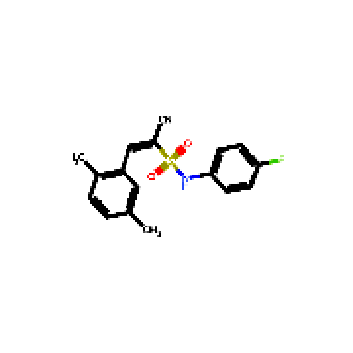 Cc1ccc(C)c(/C=C(/C#N)S(=O)(=O)Nc2ccc(F)cc2)c1